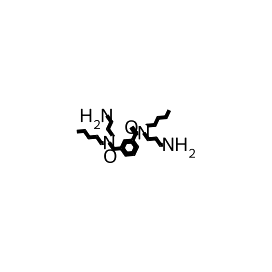 CCCCCN(CCCN)C(=O)c1cccc(C(=O)N(CCCN)CCCCC)c1